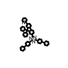 c1ccc(-c2ccc(-c3nc(-c4ccc(-c5ccccc5)cc4)nc(-c4ccc5c(c4)C(c4ccccc4)(c4ccccc4)c4cc(-c6ccccn6)ccc4-5)n3)cc2)cc1